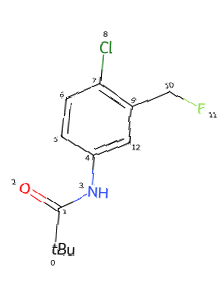 CC(C)(C)C(=O)Nc1ccc(Cl)c(CF)c1